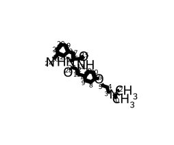 CN(C)CCCOc1ccc(C=c2[nH]c(=O)c(=Cc3cccc(C#N)c3)[nH]c2=O)cc1